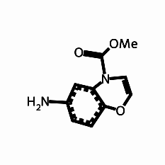 COC(=O)N1C=COc2ccc(N)cc21